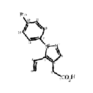 C=Cc1c(CC(=O)O)cnn1-c1ccc(F)cc1